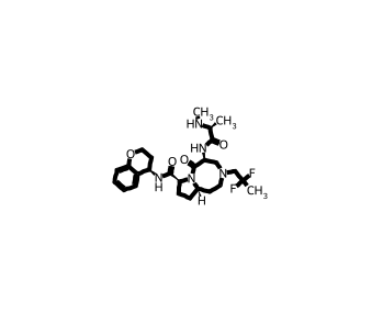 CN[C@@H](C)C(=O)N[C@H]1CN(CC(C)(F)F)CC[C@H]2CC[C@@H](C(=O)N[C@@H]3CCOc4ccccc43)N2C1=O